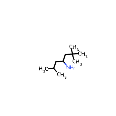 CC(C)CC([NH])CC(C)(C)C